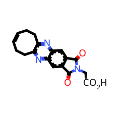 O=C(O)CN1C(=O)c2cc3nc4c(nc3cc2C1=O)CCC=CCC4